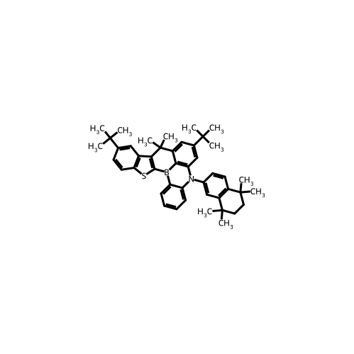 CC(C)(C)c1cc2c3c(c1)C(C)(C)c1c(sc4ccc(C(C)(C)C)cc14)B3c1ccccc1N2c1ccc2c(c1)C(C)(C)CCC2(C)C